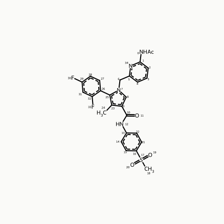 CC(=O)Nc1cccc(Cn2cc(C(=O)Nc3ccc(S(C)(=O)=O)cc3)c(C)c2-c2ccc(F)cc2F)n1